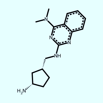 CN(C)c1nc(NC[C@@H]2CC[C@H](N)C2)nc2ccccc12